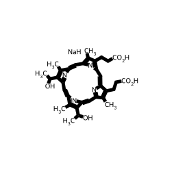 CC1=C(CCC(=O)O)c2cc3[nH]c(cc4nc(cc5[nH]c(cc1n2)c(C(C)O)c5C)C(C(C)O)=C4C)c(C)c3CCC(=O)O.[NaH]